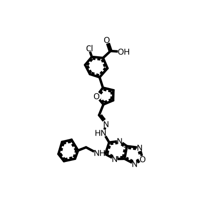 O=C(O)c1cc(-c2ccc(C=NNc3nc4nonc4nc3NCc3ccccc3)o2)ccc1Cl